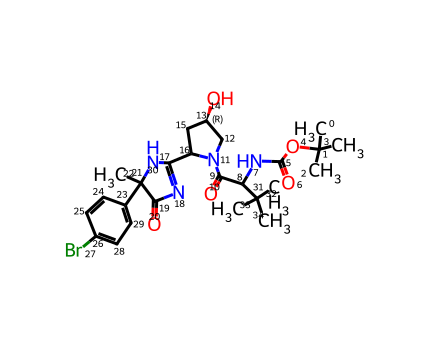 CC(C)(C)OC(=O)NC(C(=O)N1C[C@H](O)CC1C1=NC(=O)C(C)(c2ccc(Br)cc2)N1)C(C)(C)C